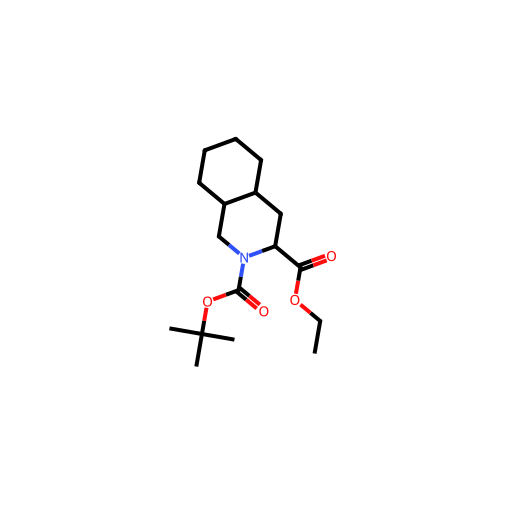 CCOC(=O)C1CC2CCCCC2CN1C(=O)OC(C)(C)C